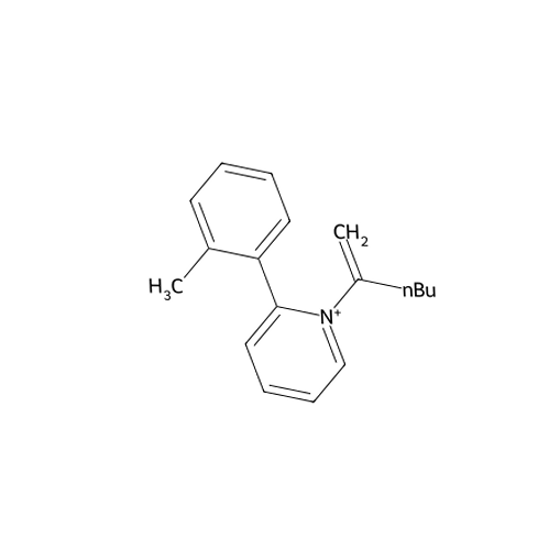 C=C(CCCC)[n+]1ccccc1-c1ccccc1C